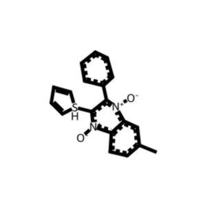 Cc1ccc2c(c1)[n+]([O-])c(-c1ccccc1)c([SH]1C=CC=C1)[n+]2[O-]